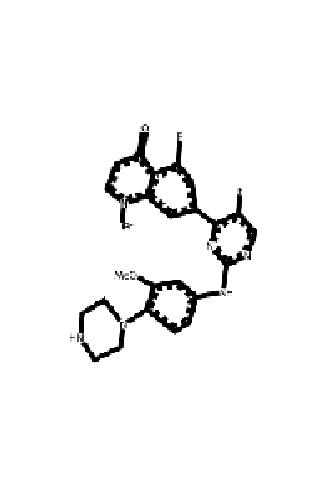 COc1cc(Nc2ncc(F)c(-c3cc(F)c4c(=O)ccn(C(C)C)c4c3)n2)ccc1N1CCNCC1